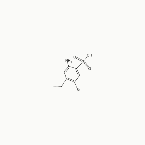 CCc1cc(N)c(S(=O)(=O)O)cc1Br